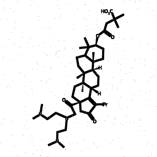 CC(C)C1=C2[C@H]3CC[C@@H]4[C@@]5(C)CC[C@H](OC(=O)CC(C)(C)C(=O)O)C(C)(C)C5CC[C@@]4(C)[C@]3(C)CC[C@@]2(C(=O)CN(CCN(C)C)CCN(C)C)CC1=O